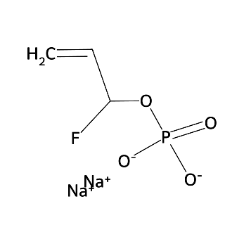 C=CC(F)OP(=O)([O-])[O-].[Na+].[Na+]